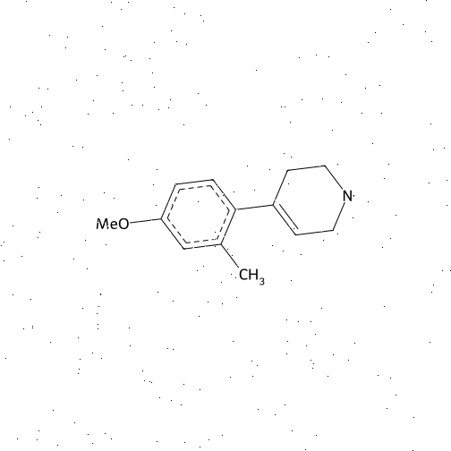 COc1ccc(C2=CC[N]CC2)c(C)c1